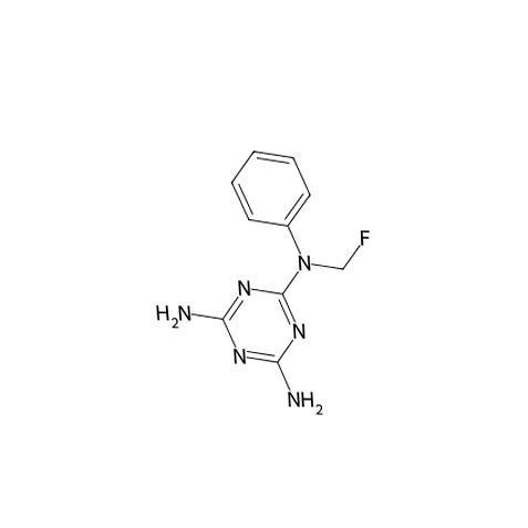 Nc1nc(N)nc(N(CF)c2ccccc2)n1